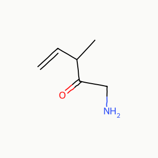 C=CC(C)C(=O)CN